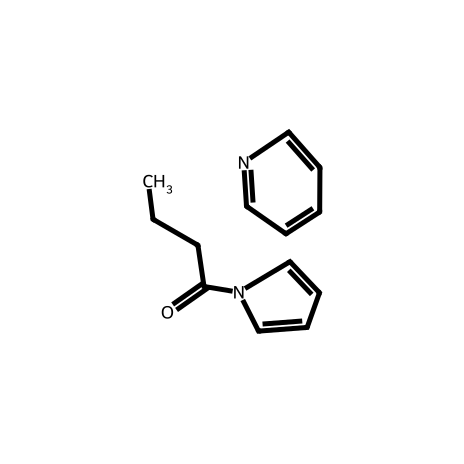 CCCC(=O)n1cccc1.c1ccncc1